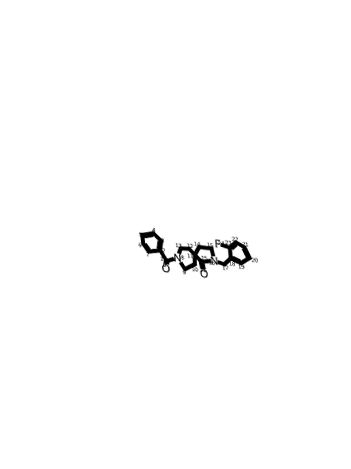 O=C(c1ccccc1)N1CCC2(CC1)CCN(Cc1ccccc1F)C2=O